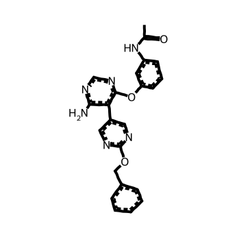 CC(=O)Nc1cccc(Oc2ncnc(N)c2-c2cnc(OCc3ccccc3)nc2)c1